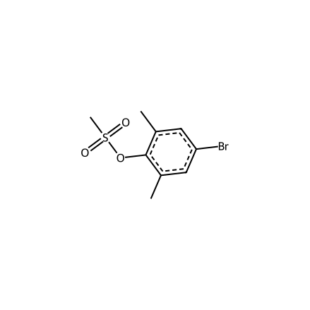 Cc1cc(Br)cc(C)c1OS(C)(=O)=O